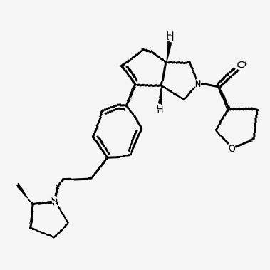 C[C@@H]1CCCN1CCc1ccc(C2=CC[C@@H]3CN(C(=O)C4CCOC4)C[C@H]23)cc1